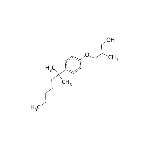 CCCCCC(C)(C)c1ccc(OCC(C)CO)cc1